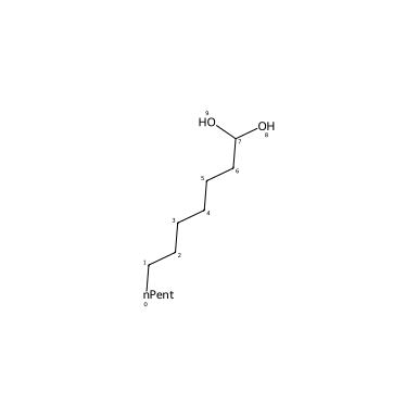 CC[CH]CCCCCCCCC(O)O